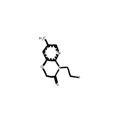 Cc1cnc2c(c1)OCC(=O)N2CCF